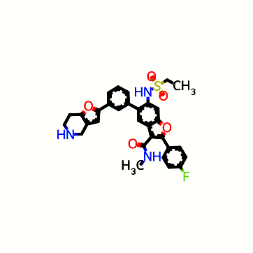 CCS(=O)(=O)Nc1cc2oc(-c3ccc(F)cc3)c(C(=O)NC)c2cc1-c1cccc(-c2cc3c(o2)CCNC3)c1